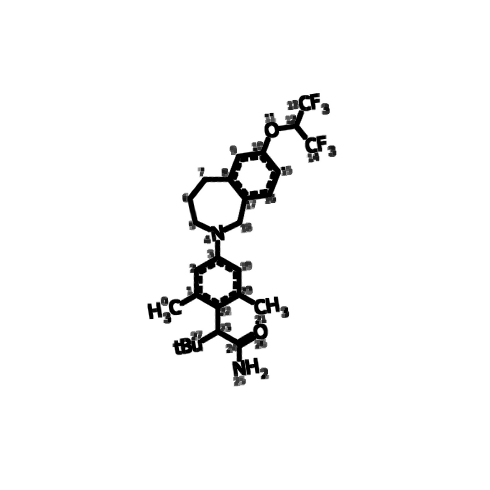 Cc1cc(N2CCCc3cc(OC(C(F)(F)F)C(F)(F)F)ccc3C2)cc(C)c1C(C(N)=O)C(C)(C)C